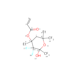 C=CC(=O)OC1(CC)CC(CC)(C(F)(F)F)OC(O)(C(F)(F)F)C1(F)F